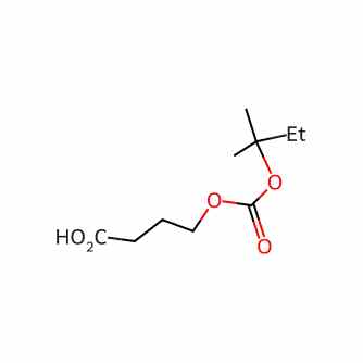 CCC(C)(C)OC(=O)OCCCC(=O)O